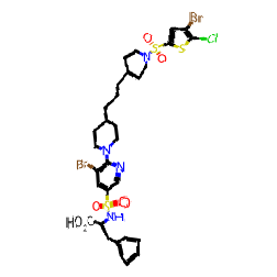 O=C(O)C(Cc1ccccc1)NS(=O)(=O)c1cnc(N2CCC(CCCC3CCN(S(=O)(=O)c4cc(Br)c(Cl)s4)CC3)CC2)c(Br)c1